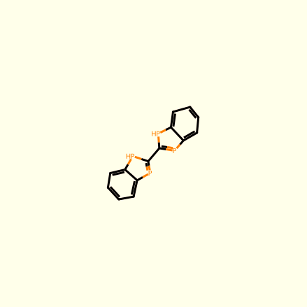 c1ccc2[pH]c(-c3pc4ccccc4[pH]3)pc2c1